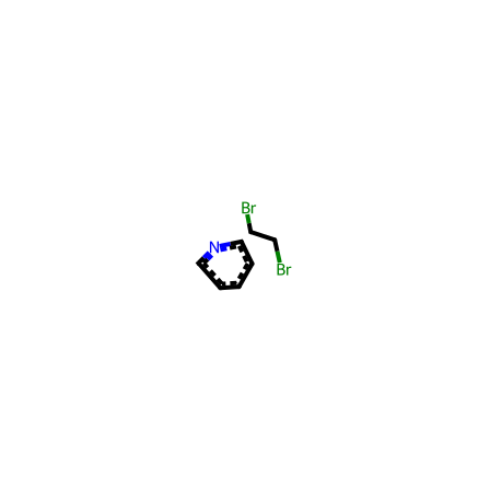 BrCCBr.c1ccncc1